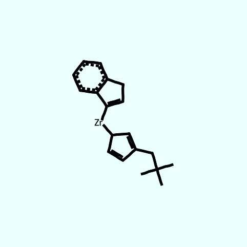 CC(C)(C)CC1=C[CH]([Zr][C]2=CCc3ccccc32)C=C1